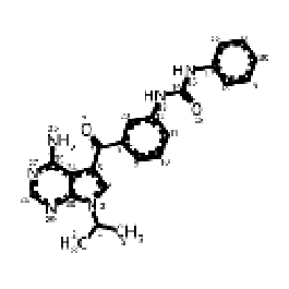 CC(C)n1cc(C(=O)c2cccc(NC(=O)Nc3ccccc3)c2)c2c(N)ncnc21